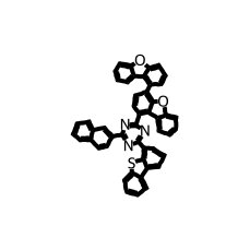 c1ccc2cc(-c3nc(-c4cccc5c4sc4ccccc45)nc(-c4ccc(-c5cccc6oc7ccccc7c56)c5oc6ccccc6c45)n3)ccc2c1